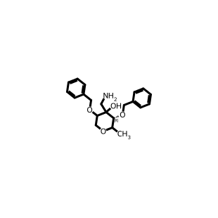 CC1OCC(OCc2ccccc2)C(O)(CN)[C@@H]1OCc1ccccc1